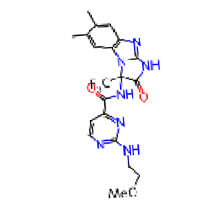 COCCNc1nccc(C(=O)NC2(C(F)(F)F)C(=O)Nc3nc4cc(C)c(C)cc4n32)n1